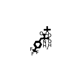 CC(C)(C)OC(=O)[C@@](N)(Cc1ccc(C(F)(F)F)cc1)C(=O)O